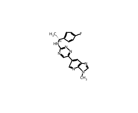 C[C@@H](Nc1ncc(-c2cnc3c(c2)ncn3C)nn1)c1ccc(F)cc1